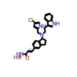 O=C(/C=C/c1ccc2c(c1)CCC2N(CCc1c[nH]c2ccccc12)Cc1cc(Cl)c[nH]1)NO